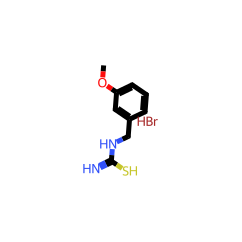 Br.COc1cccc(CNC(=N)S)c1